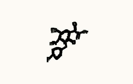 CCCc1c(CC)cc(C(=O)NC(C)C)c(=O)n1Cc1ccc(F)cc1